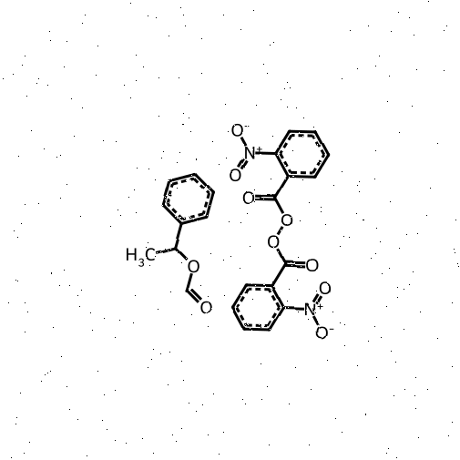 CC(OC=O)c1ccccc1.O=C(OOC(=O)c1ccccc1[N+](=O)[O-])c1ccccc1[N+](=O)[O-]